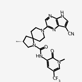 C[C@H]1CN(C(=O)Nc2cc(C(F)(F)F)cn(C)c2=O)C2(CCN(c3cnc4[nH]cc(C#N)c4n3)CC2)C1